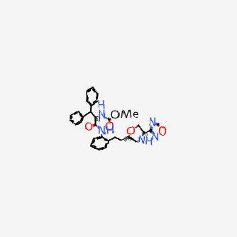 COC(=O)N[C@H](C(=O)Nc1ccccc1CC[C@@H]1CN[C@H](c2ncon2)CO1)C(c1ccccc1)c1ccccc1